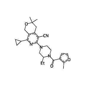 CCC1CN(c2nc(C3CC3)c3c(c2C#N)CC(C)(C)OC3)CCN1C(=O)c1ccoc1C